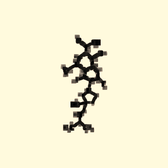 CC(C)NCC1(O)CCN(c2c(F)cc3c(=O)c(C(=O)O)cn(C4CC4)c3c2F)C1